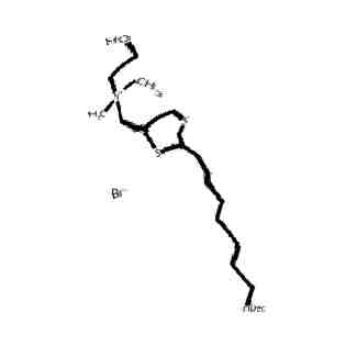 CCCCCCCCCCCCCCCCCC1SCC(C[N+](C)(C)CCO)S1.[Br-]